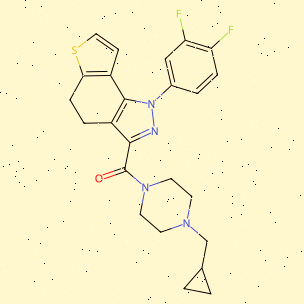 O=C(c1nn(-c2ccc(F)c(F)c2)c2c1CCc1sccc1-2)N1CCN(CC2CC2)CC1